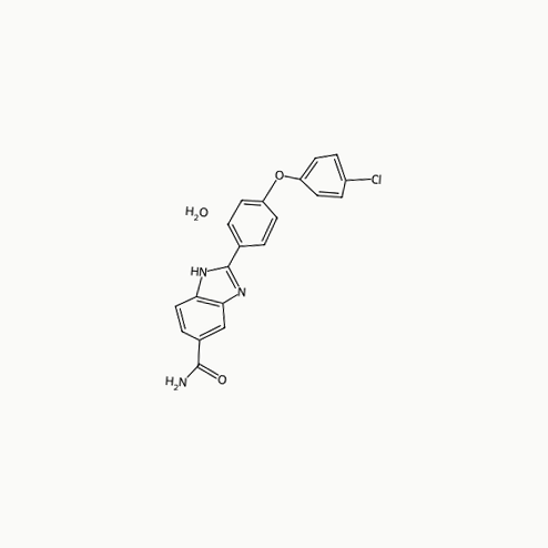 NC(=O)c1ccc2[nH]c(-c3ccc(Oc4ccc(Cl)cc4)cc3)nc2c1.O